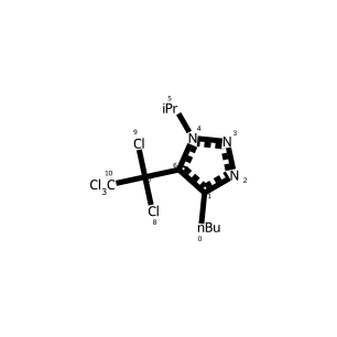 CCCCc1nnn(C(C)C)c1C(Cl)(Cl)C(Cl)(Cl)Cl